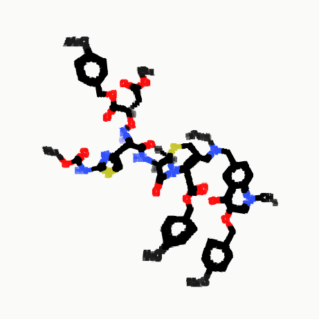 CCCCCN(CC1=C(C(=O)OCc2ccc(OC)cc2)N2C(=O)[C@@H](NC(=O)/C(=N\O[C@@H](CC(=O)OC(C)(C)C)C(=O)OCc3ccc(OC)cc3)c3csc(NC(=O)OC(C)(C)C)n3)[C@H]2SC1)Cc1ccc2c(c1)c(=O)c(OCc1ccc(OC)cc1)cn2C